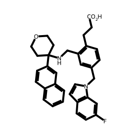 O=C(O)CCc1ccc(Cn2ccc3ccc(F)cc32)cc1CNC1(c2ccc3ccccc3c2)CCOCC1